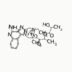 CCNCc1nc2c(N)nc3ccccc3c2n1CC(C)(C)OC(=O)C(C)OC(=O)C(C)O